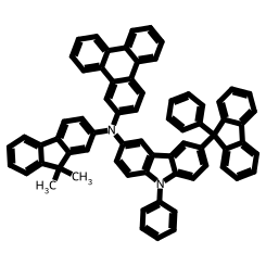 CC1(C)c2ccccc2-c2ccc(N(c3ccc4c5ccccc5c5ccccc5c4c3)c3ccc4c(c3)c3cc(C5(c6ccccc6)c6ccccc6-c6ccccc65)ccc3n4-c3ccccc3)cc21